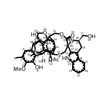 COc1c(C)cc2c(c1O)[C@@H]1C3[C@@H]4SC[C@]5(N[C@@H](CO)Cc6c5[nH]c5ccccc65)C(=O)OCC(c5c6c(c(C)c(OC(C)=O)c54)OCO6)N3[C@@](O)(C2)CN1C